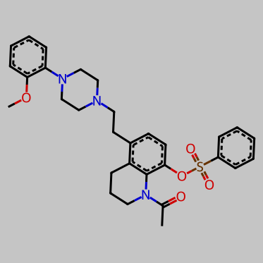 COc1ccccc1N1CCN(CCc2ccc(OS(=O)(=O)c3ccccc3)c3c2CCCN3C(C)=O)CC1